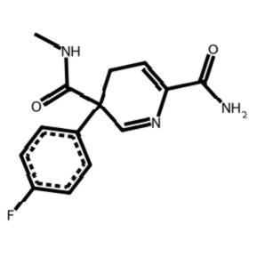 CNC(=O)C1(c2ccc(F)cc2)C=NC(C(N)=O)=CC1